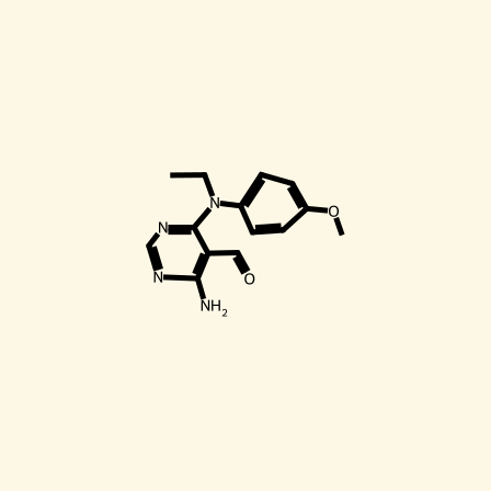 CCN(c1ccc(OC)cc1)c1ncnc(N)c1C=O